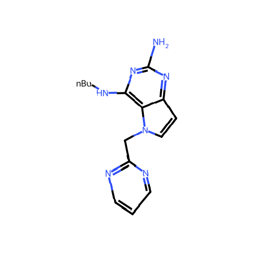 CCCCNc1nc(N)nc2ccn(Cc3ncccn3)c12